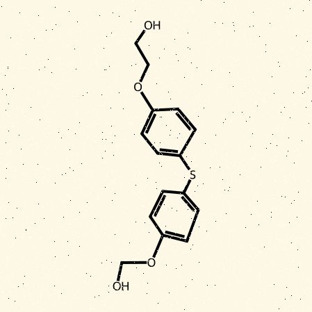 OCCOc1ccc(Sc2ccc(OCO)cc2)cc1